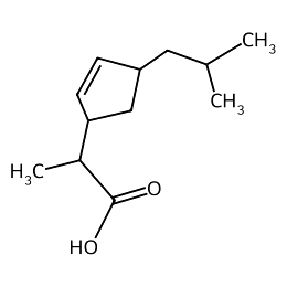 CC(C)CC1C=CC(C(C)C(=O)O)C1